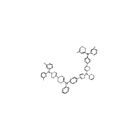 CC1=CCCC(N(c2ccc(C3=CC=C(N(C4=CC=CCC4)C4C=CC(c5ccc(N(C6=CCC(C7=CCC(N(c8cccc(C)c8)c8cccc(C)c8)CC7)CC6)c6ccccc6)cc5)=CC4)CC3)cc2)c2cccc(C)c2)=C1